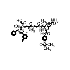 CC1[C@H](C)C(=O)N1c1ccc(NC(=O)[C@H](CCCNC(N)=O)NC(=O)[C@H](C)NC(=O)CCNC(=O)[C@@H](N)CCN(C(=O)CO)[C@@H](c2nc(-c3cc(F)ccc3F)cn2Cc2ccccc2)C(C)(C)C)cc1